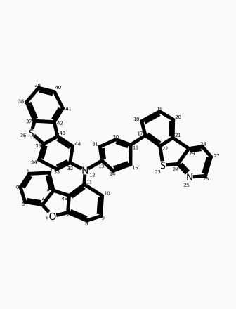 c1ccc2c(c1)oc1cccc(N(c3ccc(-c4cccc5c4sc4ncccc45)cc3)c3ccc4sc5ccccc5c4c3)c12